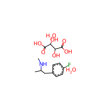 CNC(C)Cc1ccc(F)cc1.O.O.O=C(O)C(O)C(O)C(=O)O